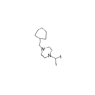 IC(I)N1CCN(CC2CCCCC2)CC1